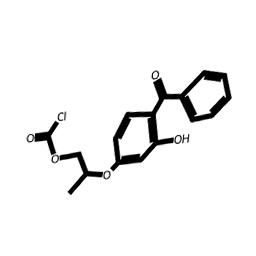 CC(COC(=O)Cl)Oc1ccc(C(=O)c2ccccc2)c(O)c1